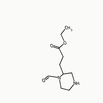 CCOC(=O)CCC1CNCCN1C=O